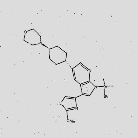 COc1nc(-c2cn([Si](C)(C)C(C)(C)C)c3ncc([C@H]4CC[C@H](N5CCOCC5)CC4)cc23)cs1